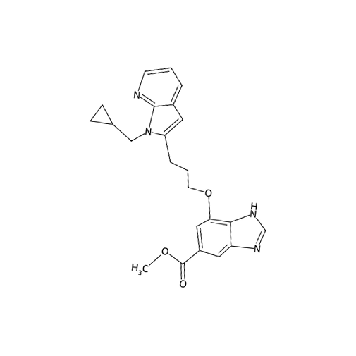 COC(=O)c1cc(OCCCc2cc3cccnc3n2CC2CC2)c2[nH]cnc2c1